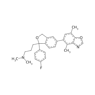 Cc1c(-c2ccc3c(c2)COC3(CCCN(C)C)c2ccc(F)cc2)cc(C)c2ocnc12